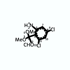 COC(C=O)(OC)c1c(N)cc(Cl)cc1Cl